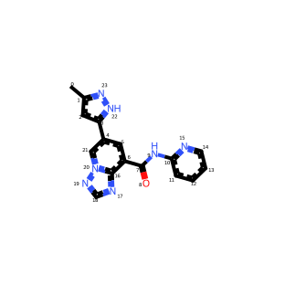 Cc1cc(-c2cc(C(=O)Nc3ccccn3)c3ncnn3c2)[nH]n1